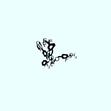 COc1ccc(COCCN(C)C(=O)[C@H](Cc2ccccc2)N(Cc2ccc(N3CCOCC3)cc2)C(=O)C=Cc2ccc(C(F)(F)F)cc2)cc1F